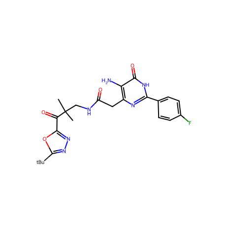 CC(C)(CNC(=O)Cc1nc(-c2ccc(F)cc2)[nH]c(=O)c1N)C(=O)c1nnc(C(C)(C)C)o1